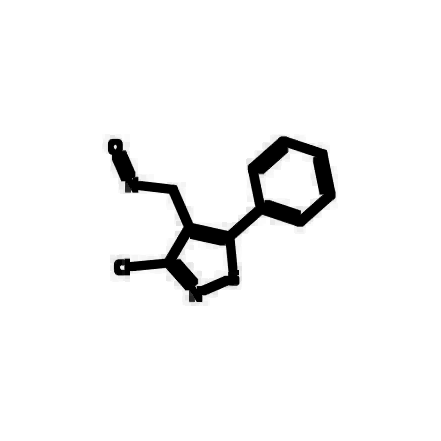 O=NCc1c(Cl)nsc1-c1ccccc1